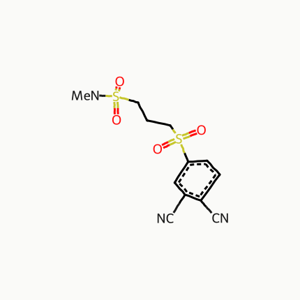 CNS(=O)(=O)CCCS(=O)(=O)c1ccc(C#N)c(C#N)c1